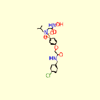 CC(C)CN(CC(=O)NO)S(=O)(=O)c1ccc(OCC(=O)NCc2ccc(Cl)cc2)cc1